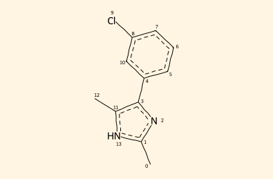 Cc1nc(-c2cccc(Cl)c2)c(C)[nH]1